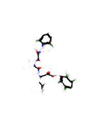 C[C@H](NC(=O)C(=O)Nc1c(F)cccc1F)C(=O)N[C@H](CCC(=O)O)C(=O)COc1c(F)c(F)cc(F)c1F